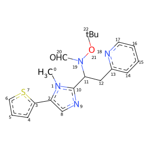 Cn1c(-c2cccs2)cnc1C(Cc1ccccn1)N(C=O)OC(C)(C)C